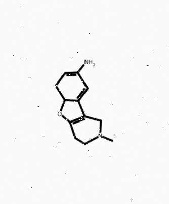 CN1CCC2=C(C1)C1=CC(N)=CCC1O2